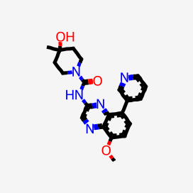 COc1ccc(-c2cccnc2)c2nc(NC(=O)N3CCC(C)(O)CC3)cnc12